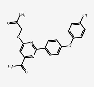 N#Cc1ccc(Oc2ccc(-c3nc(OCC(N)=O)cc(C(N)=O)n3)cc2)cc1